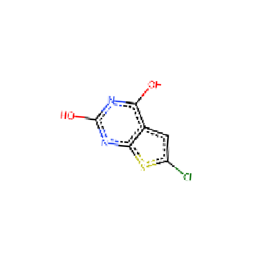 Oc1nc(O)c2cc(Cl)sc2n1